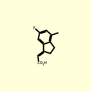 Cc1cc(F)cc2c1CC/C2=C\C(=O)O